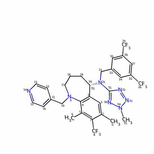 Cc1cc2c(c(C)c1C(F)(F)F)N(Cc1ccncc1)CCC[C@@H]2N(Cc1cc(C(F)(F)F)cc(C(F)(F)F)c1)c1nnn(C)n1